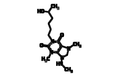 CNN1CN(C)c2c1n(C)c(=O)n(CCCCC(C)O)c2=O